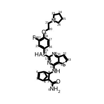 NC(=O)C1C2C=CC(C2)C1Nc1nc([AsH]c2ccc(OCCN3CCCC3)c(F)c2)nc2ccsc12